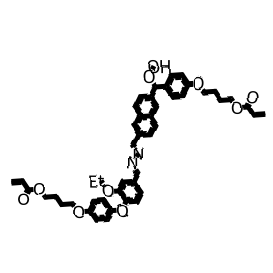 C=CC(=O)OCCCCOc1ccc(Oc2ccc(/C=N/N=C/c3ccc4cc(C(OO)c5ccc(OCCCCOC(=O)C=C)cc5)ccc4c3)cc2OCC)cc1